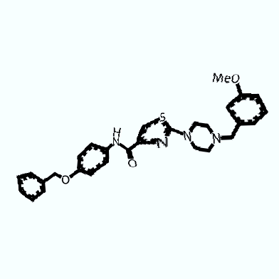 COc1cccc(CN2CCN(c3nc(C(=O)Nc4ccc(OCc5ccccc5)cc4)cs3)CC2)c1